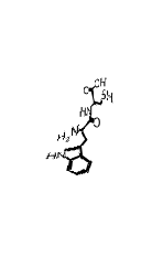 NC(Cc1c[nH]c2ccccc12)C(=O)NC(CS)C(=O)O